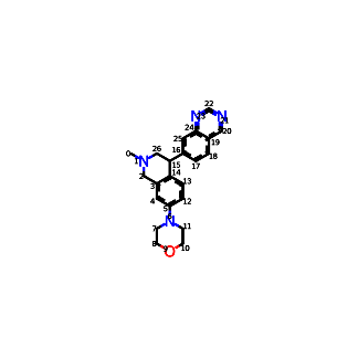 CN1Cc2cc(N3CCOCC3)ccc2C(c2ccc3cncnc3c2)C1